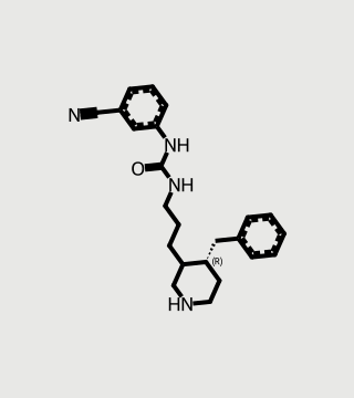 N#Cc1cccc(NC(=O)NCCCC2CNCC[C@H]2Cc2ccccc2)c1